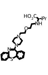 CC(C)[C@@H](NCCOCCN1CCN(C2=Nc3ccccc3Sc3ccccc32)CC1)C(=O)O